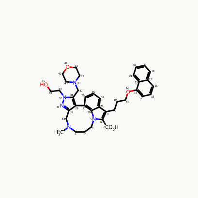 CN1CCCn2c(C(=O)O)c(CCCOc3cccc4ccccc34)c3cccc(c32)-c2c(nn(CCO)c2CN2CCOCC2)C1